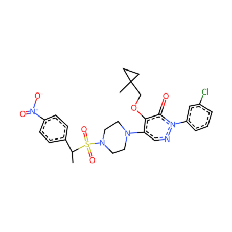 CC(c1ccc([N+](=O)[O-])cc1)S(=O)(=O)N1CCN(c2cnn(-c3cccc(Cl)c3)c(=O)c2OCC2(C)CC2)CC1